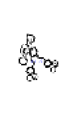 O=C([C@H]1[C@H](/C=C/c2ccc3c(c2)OCO3)[C@H](/C=C/c2ccc3c(c2)OCO3)C=C[C@@H]1C(=O)N1CCCCC1)N1CCCCC1